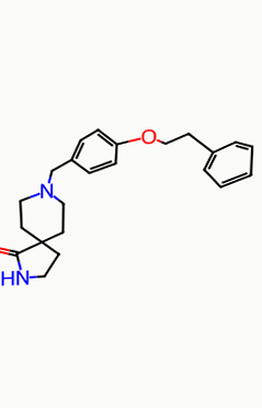 O=C1NCCC12CCN(Cc1ccc(OCCc3ccccc3)cc1)CC2